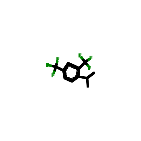 CC(C)c1ccc(C(F)(F)F)cc1C(F)(F)F